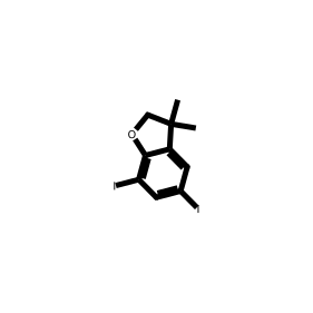 CC1(C)COc2c(I)cc(I)cc21